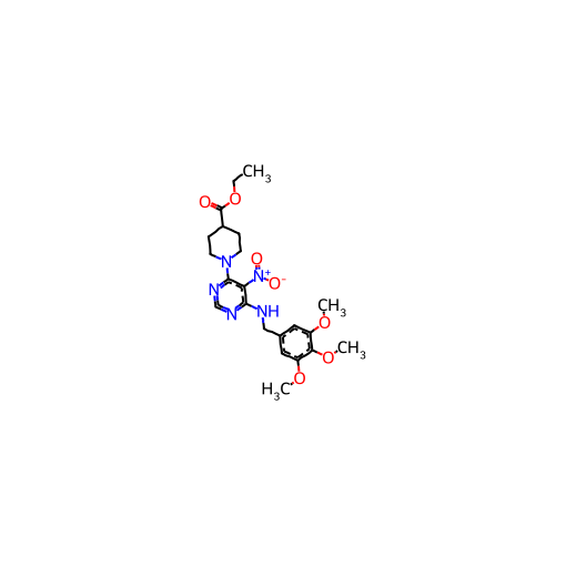 CCOC(=O)C1CCN(c2ncnc(NCc3cc(OC)c(OC)c(OC)c3)c2[N+](=O)[O-])CC1